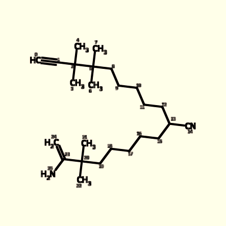 C#CC(C)(C)C(C)(C)CCCCCC(C#N)CCCCCC(C)(C)C(=C)N